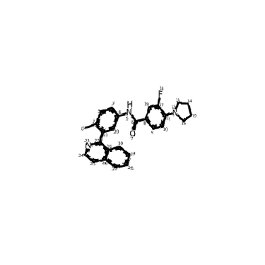 Cc1ccc(NC(=O)c2ccc(N3CCCC3)c(F)c2)cc1-c1nccc2ccccc12